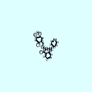 O=C(NOCc1cc2c(cc1Cl)OCO2)c1ccccc1NCc1ccncc1